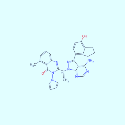 Cc1cccc2nc([C@H](C)n3nc(-c4ccc(O)c5c4CCC5)c4c(N)ncnc43)n(-n3cccc3)c(=O)c12